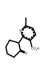 Cc1ccc(C(=O)O)c(C2CCCCC2=O)n1